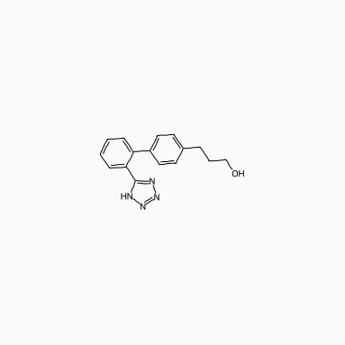 OCCCc1ccc(-c2ccccc2-c2nnn[nH]2)cc1